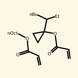 C=CC(=O)OC1(C(CC)CCCC)CC1.C=CC(=O)OCCCCCCCC